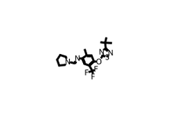 Cc1cc(Oc2nc(C(C)(C)C)ns2)c(C(F)(F)F)cc1/N=C/N1CCCCC1